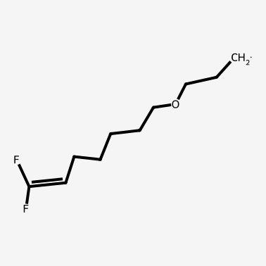 [CH2]CCOCCCCCC=C(F)F